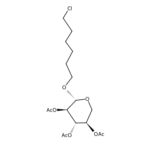 CC(=O)O[C@@H]1[C@@H](OC(C)=O)[C@H](OCCCCCCCl)OC[C@H]1OC(C)=O